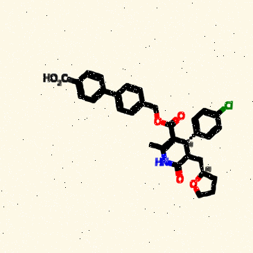 CC1=C(C(=O)OCc2ccc(-c3ccc(C(=O)O)cc3)cc2)[C@H](c2ccc(Cl)cc2)C(C[C@H]2CCCO2)C(=O)N1